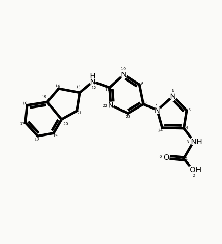 O=C(O)Nc1cnn(-c2cnc(NC3Cc4ccccc4C3)nc2)c1